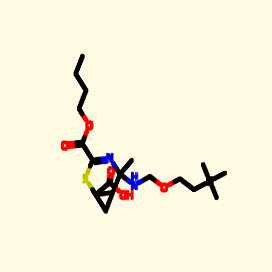 CCCCOC(=O)C1=NC(C)(NCOCC[Si](C)(C)C)C2CC2(C(=O)O)S1